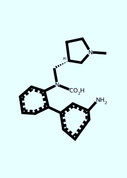 CN1CC[C@@H](CN(C(=O)O)c2ccccc2-c2cccc(N)c2)C1